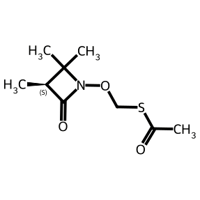 CC(=O)SCON1C(=O)[C@@H](C)C1(C)C